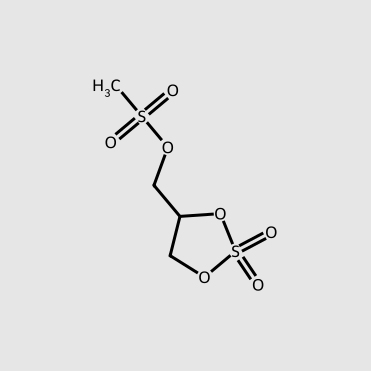 CS(=O)(=O)OCC1COS(=O)(=O)O1